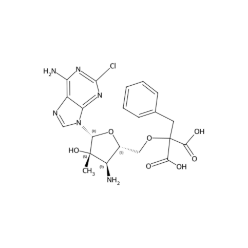 C[C@]1(O)[C@H](N)[C@@H](COC(Cc2ccccc2)(C(=O)O)C(=O)O)O[C@H]1n1cnc2c(N)nc(Cl)nc21